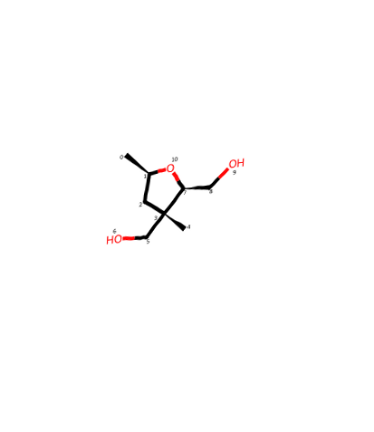 C[C@@H]1C[C@@](C)(CO)[C@H](CO)O1